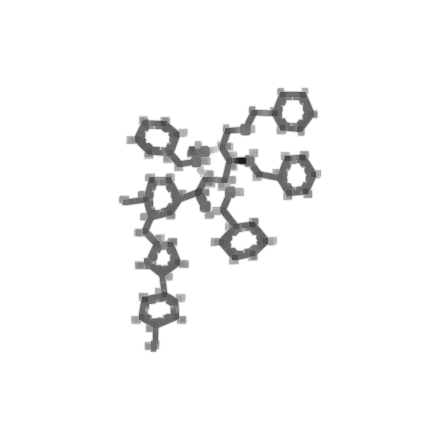 CC(=O)O[C@H](COCc1ccccc1)[C@@H](OCc1ccccc1)[C@H](OCc1ccccc1)[C@@H](OCc1ccccc1)C(=O)c1ccc(C)c(Cc2ccc(-c3ccc(F)cc3)s2)c1